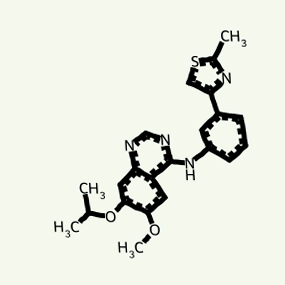 COc1cc2c(Nc3cccc(-c4csc(C)n4)c3)ncnc2cc1OC(C)C